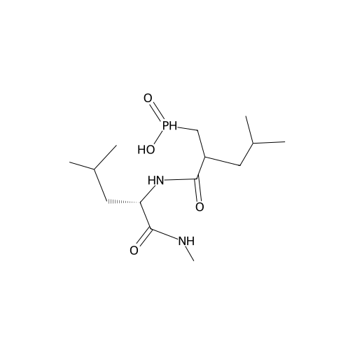 CNC(=O)[C@H](CC(C)C)NC(=O)C(CC(C)C)C[PH](=O)O